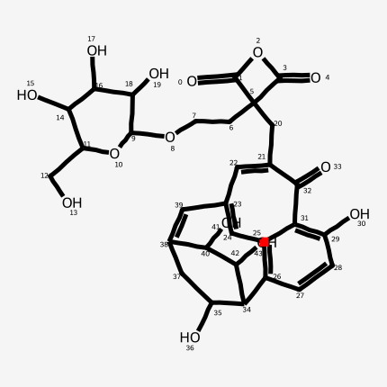 O=C1OC(=O)C1(CCOC1OC(CO)C(O)C(O)C1O)Cc1cc2cc3c(ccc(O)c3c1=O)C1C(O)C/C(=C\2)C(O)C1O